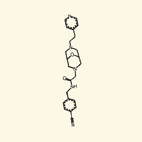 N#Cc1ccc(CNC(=O)CN2CC3CN(CCc4ccncc4)CC(C2)O3)cc1